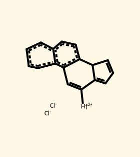 [Cl-].[Cl-].[Hf+2][C]1=Cc2c(ccc3ccccc23)C2C=CC=C12